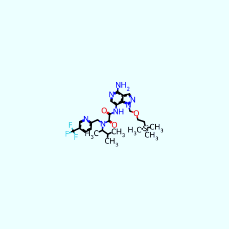 CC(C)C(C)N(Cc1ccc(C(F)(F)F)cn1)C(=O)C(=O)Nc1cnc(N)c2cnn(COCC[Si](C)(C)C)c12